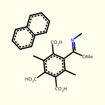 CN=C(OC)c1c(C)c(C(=O)O)c(C(=O)O)c(C)c1C(=O)O.c1ccc2ccccc2c1